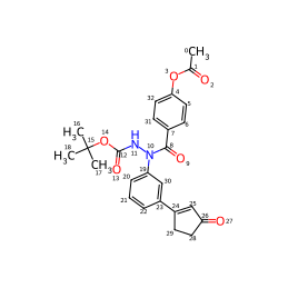 CC(=O)Oc1ccc(C(=O)N(NC(=O)OC(C)(C)C)c2cccc(C3=CC(=O)CC3)c2)cc1